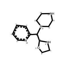 c1ccc(C(C2NCCO2)N2CCNCC2)nc1